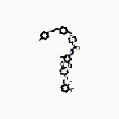 Cc1ccc(OCCc2ccc(CN3CCN(C(=O)/C=C/c4cc(C)c(Oc5ccc(OCc6cccc(F)c6F)cn5)c(Cl)c4)CC3)cc2)cc1